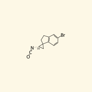 O=C=N[C@H]1CC12CCc1cc(Br)ccc12